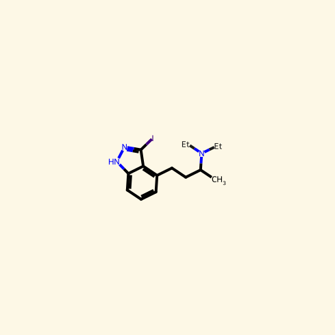 CCN(CC)C(C)CCc1cccc2[nH]nc(I)c12